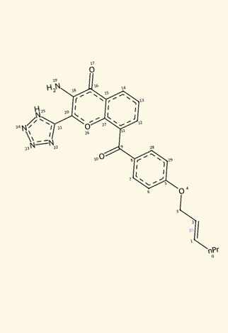 CCC/C=C/COc1ccc(C(=O)c2cccc3c(=O)c(N)c(-c4nnn[nH]4)oc23)cc1